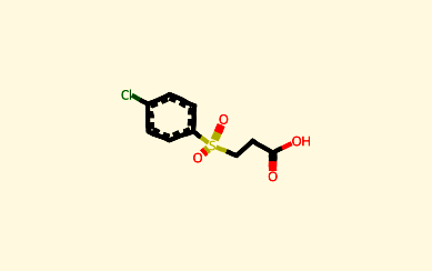 O=C(O)CCS(=O)(=O)c1ccc(Cl)cc1